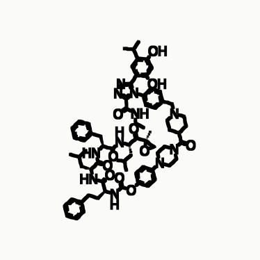 CCNC(=O)c1nnc(-c2cc(C(C)C)c(O)cc2O)n1-c1ccc(CN2CCC(C(=O)N3CCN(c4ccc(OC(=O)N[C@@H](CCc5ccccc5)C(=O)N[C@@H](CC(C)C)C(=O)N[C@@H](Cc5ccccc5)C(=O)N[C@@H](CC(C)C)C(=O)[C@@]5(C)CO5)cc4)CC3)CC2)cc1